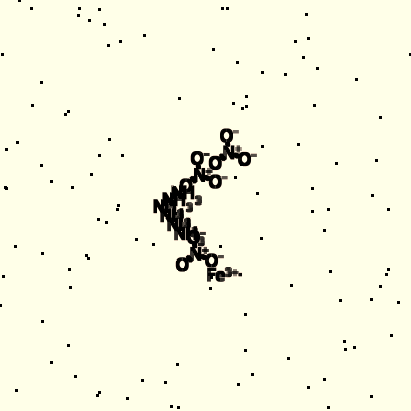 N.N.N.N.N.N.O=[N+]([O-])[O-].O=[N+]([O-])[O-].O=[N+]([O-])[O-].[Fe+3]